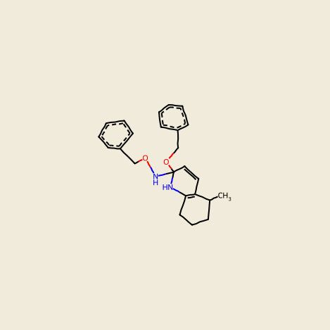 CC1CCCC2=C1C=CC(NOCc1ccccc1)(OCc1ccccc1)N2